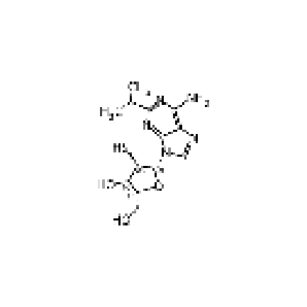 CC(C)c1nc(N)c2ncn([C@@H]3O[C@H](CO)[C@@H](O)[C@H]3S)c2n1